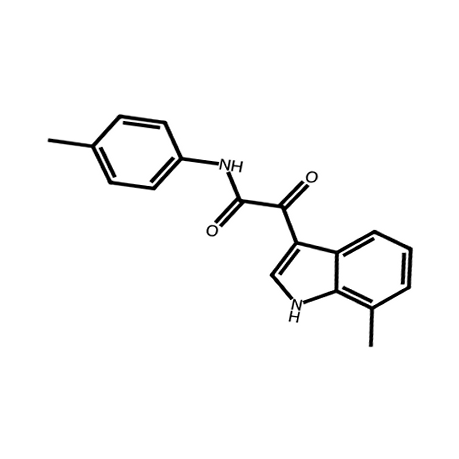 Cc1ccc(NC(=O)C(=O)c2c[nH]c3c(C)cccc23)cc1